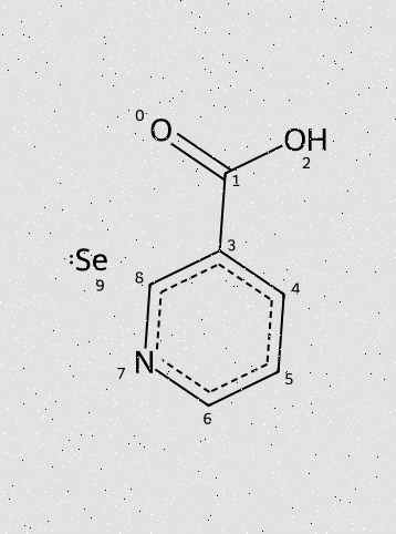 O=C(O)c1cccnc1.[Se]